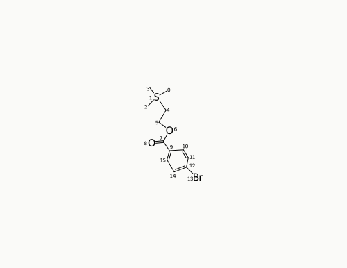 CS(C)(C)CCOC(=O)c1ccc(Br)cc1